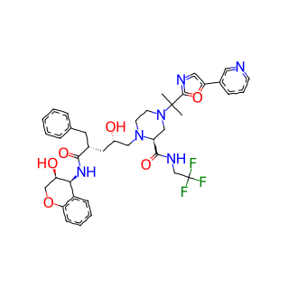 CC(C)(c1ncc(-c2cccnc2)o1)N1CCN(C[C@@H](O)C[C@@H](Cc2ccccc2)C(=O)N[C@H]2c3ccccc3OC[C@H]2O)[C@H](C(=O)NCC(F)(F)F)C1